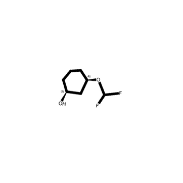 O[C@H]1CCC[C@@H](OC(F)F)C1